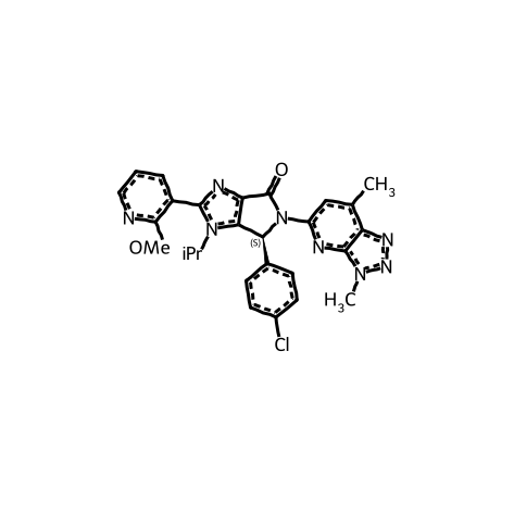 COc1ncccc1-c1nc2c(n1C(C)C)[C@H](c1ccc(Cl)cc1)N(c1cc(C)c3nnn(C)c3n1)C2=O